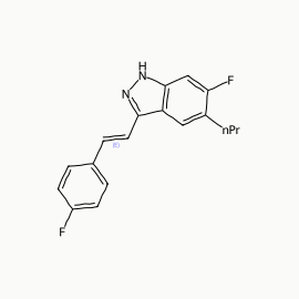 [CH2]CCc1cc2c(/C=C/c3ccc(F)cc3)n[nH]c2cc1F